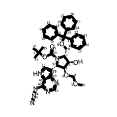 COCO[C@@H]1[C@H](O)[C@@H](COC(c2ccccc2)(c2ccccc2)c2ccccc2)N(C(=O)OC(C)(C)C)[C@H]1c1c[nH]c2c(N=[N+]=[N-])ncnc12